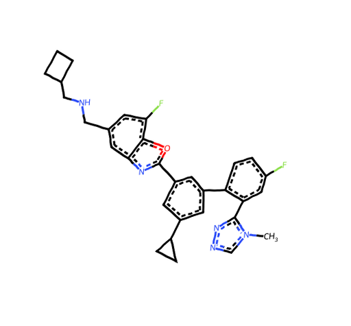 Cn1cnnc1-c1cc(F)ccc1-c1cc(-c2nc3cc(CNCC4CCC4)cc(F)c3o2)cc(C2CC2)c1